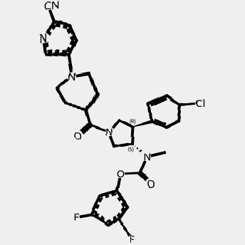 CN(C(=O)Oc1cc(F)cc(F)c1)[C@@H]1CN(C(=O)C2CCN(c3ccc(C#N)nc3)CC2)C[C@H]1C1=CCC(Cl)C=C1